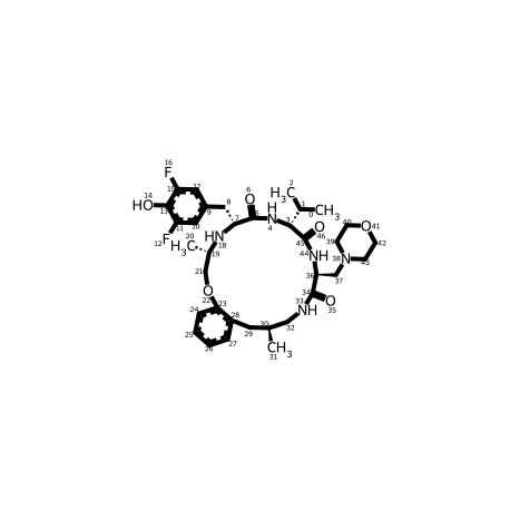 CC(C)[C@H]1NC(=O)[C@@H](Cc2cc(F)c(O)c(F)c2)N[C@@H](C)COc2ccccc2C[C@H](C)CNC(=O)[C@H](CN2CCOCC2)NC1=O